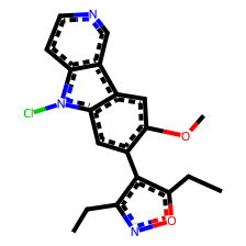 CCc1noc(CC)c1-c1cc2c(cc1OC)c1cnccc1n2Cl